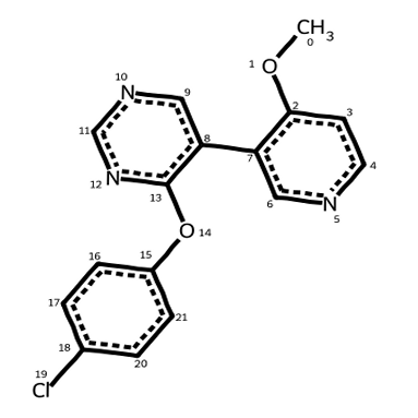 COc1ccncc1-c1cncnc1Oc1ccc(Cl)cc1